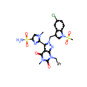 CC(C)Cn1c(=O)n(C)c(=O)c2c(-c3nc(S(N)(=O)=O)cn3C)n(Cc3cn(S(C)(=O)=O)c4ccc(Cl)cc34)nc21